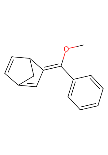 COC(=C1C=C2C=CC1C2)c1ccccc1